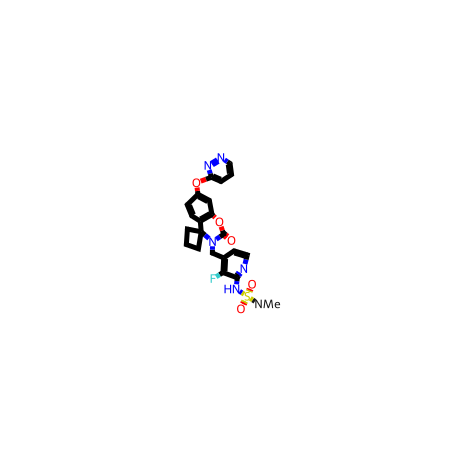 CNS(=O)(=O)Nc1nccc(CN2C(=O)Oc3cc(Oc4cccnn4)ccc3C23CCC3)c1F